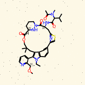 CCn1c(-c2cccnc2[C@H](C)OC)c2c3cc(ccc31)-c1csc(n1)C[C@H](NC(=O)C(C(C)C)N(C)C(C)=O)C(=O)N1CCC[C@H](N1)C(=O)OCC(C)(C)C2